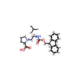 CC(C)C[C@@H](CN1CCCC1C(=O)O)NC(=O)OCC1c2ccccc2-c2ccccc21